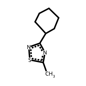 Cc1nc(C2CCCCC2)ns1